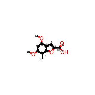 COc1cc(OC)c2cc(C(=O)O)oc2c1C